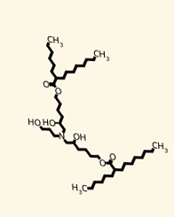 CCCCCCCCC(CCCCCC)C(=O)OCCCCC(O)CN(CCCO)C[C@@H](O)CCCCOC(=O)C(CCCCCC)CCCCCCCC